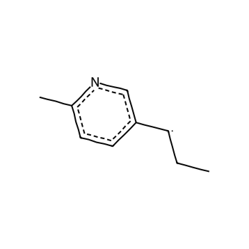 CC[CH]c1ccc(C)nc1